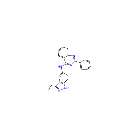 CCc1n[nH]c2ccc(Nc3nc(-c4ccccc4)nc4ccccc34)cc12